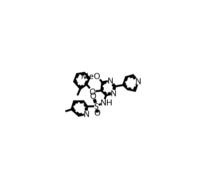 COc1nc(-c2ccncc2)nc(NS(=O)(=O)c2ccc(C)cn2)c1Oc1ccccc1C